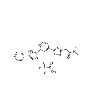 CN(C)C(=O)Cn1cc(-c2ccnc(-c3ncc(-c4ccccc4)[nH]3)c2)cn1.O=C(O)C(F)(F)F